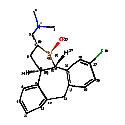 CN(C)C[C@H]1C[C@@H]2c3ccccc3Cc3ccc(F)cc3[C@H]2[S@+]1[O-]